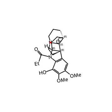 CCC(=O)N1c2c(cc(OC)c(OC)c2O)[C@@]23CCN4CCC[C@]5(CCO[C@@]452)CC[C@@H]13